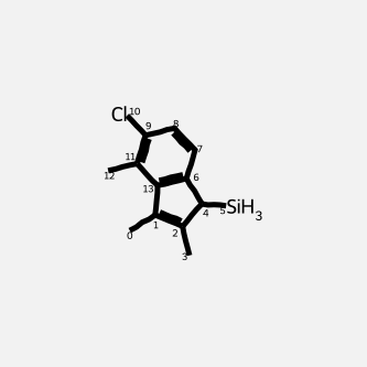 CC1=C(C)C([SiH3])c2ccc(Cl)c(C)c21